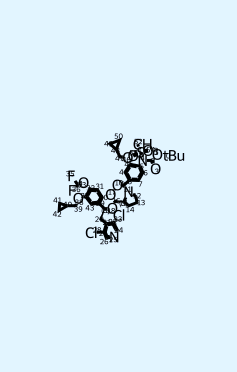 CC(C)(C)OC(=O)N(c1ccc(C(=O)N2CCC[C@H]2C(=O)O[C@@H](Cc2c(Cl)cncc2Cl)c2ccc(OC(F)F)c(OCC3CC3)c2)cc1OCC1CC1)S(C)(=O)=O